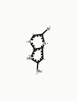 CC(C)(C)c1cc2nc(Br)cnc2[nH]1